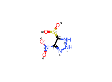 O=[N+]([O-])c1n[nH][nH]c1=S(=O)=O